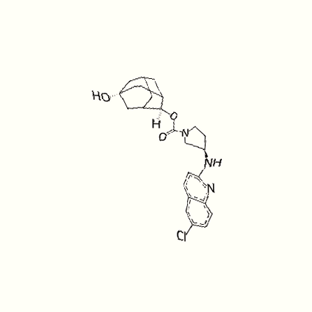 O=C(O[C@H]1C2CC3CC1C[C@](O)(C3)C2)N1CC[C@@H](Nc2ccc3cc(Cl)ccc3n2)C1